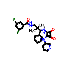 CC(C)(CNC(=O)c1cc(F)cc(F)c1)C(Nc1c(Nc2cccnc2)c(=O)c1=O)c1ccccc1